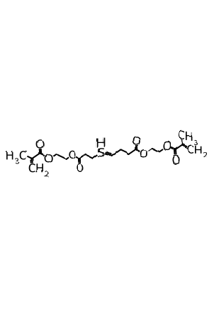 C=C(C)C(=O)OCCOC(=O)CCC=[SH]CCC(=O)OCCOC(=O)C(=C)C